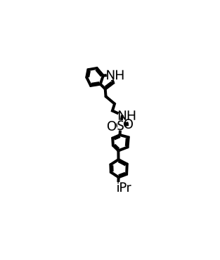 CC(C)c1ccc(-c2ccc(S(=O)(=O)NCCCc3c[nH]c4ccccc34)cc2)cc1